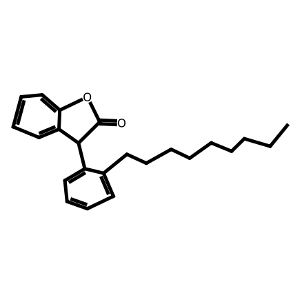 CCCCCCCCCc1ccccc1C1C(=O)Oc2ccccc21